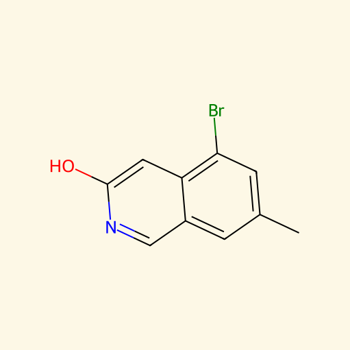 Cc1cc(Br)c2cc(O)ncc2c1